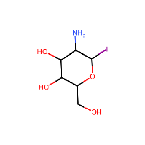 NC1C(I)OC(CO)C(O)C1O